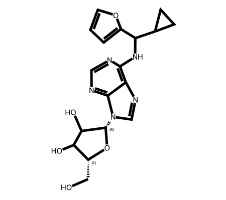 OC[C@H]1O[C@@H](n2cnc3c(NC(c4ccco4)C4CC4)ncnc32)C(O)C1O